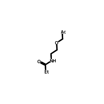 CCC(=O)NCCOCC(C)=O